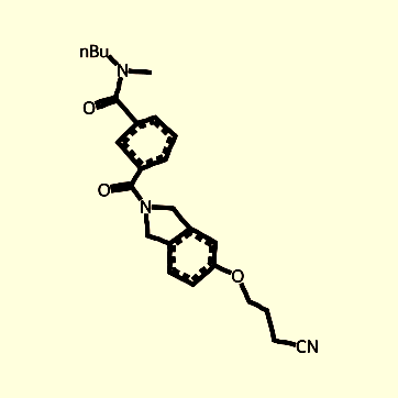 CCCCN(C)C(=O)c1cccc(C(=O)N2Cc3ccc(OCCCC#N)cc3C2)c1